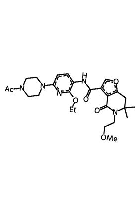 CCOc1nc(N2CCN(C(C)=O)CC2)ccc1NC(=O)c1coc2c1C(=O)N(CCOC)C(C)(C)C2